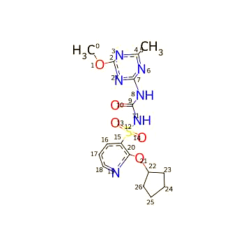 COc1nc(C)nc(NC(=O)NS(=O)(=O)c2cccnc2OC2CCCC2)n1